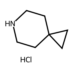 C1CC2(CCN1)CC2.Cl